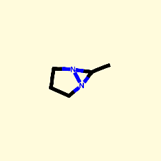 CC1N2CCCN12